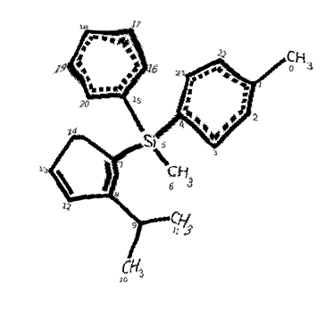 Cc1ccc([Si](C)(C2=C(C(C)C)C=CC2)c2ccccc2)cc1